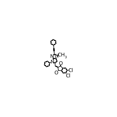 Cn1c(C#Cc2ccccc2)nc2c1cc(C=C1C(=O)c3cc(Cl)c(Cl)cc3C1=O)n2-c1ccccc1